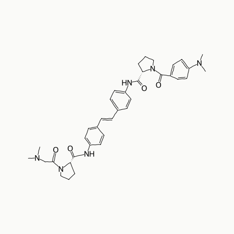 CN(C)CC(=O)N1CCC[C@H]1C(=O)Nc1ccc(/C=C/c2ccc(NC(=O)[C@@H]3CCCN3C(=O)c3ccc(N(C)C)cc3)cc2)cc1